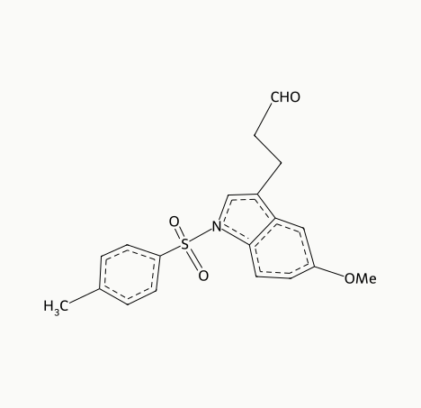 COc1ccc2c(c1)c(CCC=O)cn2S(=O)(=O)c1ccc(C)cc1